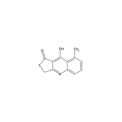 Cc1cccc2nc3c(c(O)c12)C(=O)SC3